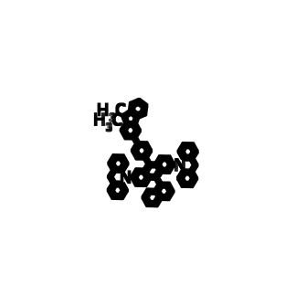 CC1(C)c2ccccc2-c2cc(-c3ccc(-c4c5cc(N6c7ccccc7Cc7ccccc76)ccc5c(-c5cccc6ccccc56)c5cc(N6c7ccccc7Cc7ccccc76)ccc45)cc3)ccc21